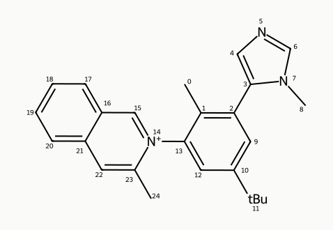 Cc1c(-c2cncn2C)cc(C(C)(C)C)cc1-[n+]1cc2ccccc2cc1C